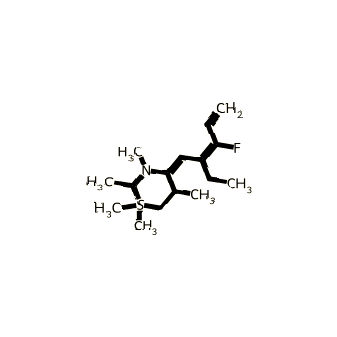 C=C/C(F)=C(\C=C1/C(C)CS(C)(C)C(C)N1C)CC